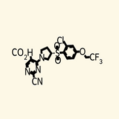 N#Cc1ncc(C(=O)O)c(N2CC[C@H](S(=O)(=O)c3ccc(OCC(F)(F)F)cc3Cl)C2)n1